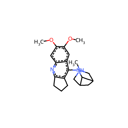 COc1cc2nc3c(c(NC4C5CC4CN(C)C5)c2cc1OC)CCC3